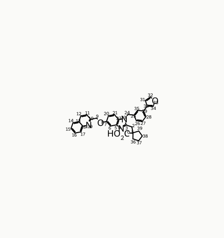 O=C(O)C1(Cc2nc3cc(OCc4ccc5ccccc5n4)ccc3n2Cc2cccc(-c3ccoc3)c2)CCCC1